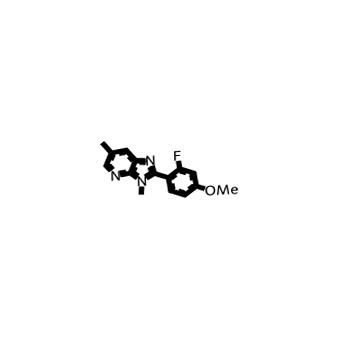 COc1ccc(-c2nc3cc(C)cnc3n2C)c(F)c1